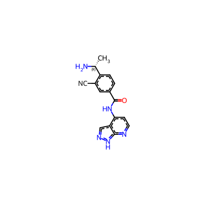 C[C@@H](N)c1ccc(C(=O)Nc2ccnc3[nH]ncc23)cc1C#N